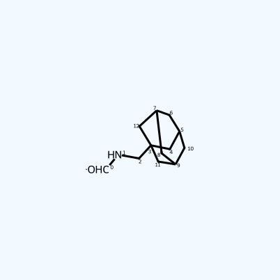 O=[C]NCC12CC3CC(CC(C3)C1)C2